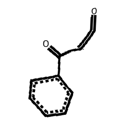 O=C=[C]C(=O)c1ccccc1